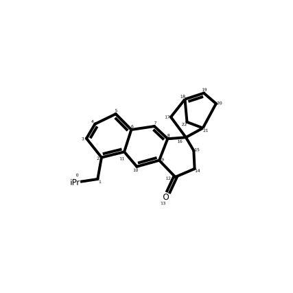 CC(C)Cc1cccc2cc3c(cc12)C(=O)CCC31CC2=CCC1C2